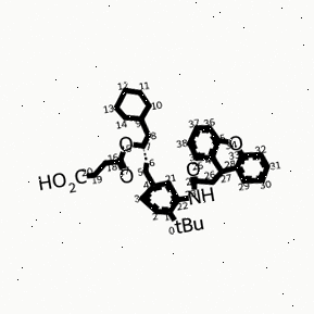 CC(C)(C)c1ccc(CC[C@@H](CC2CCCCC2)OC(=O)CCC(=O)O)cc1NC(=O)CC1c2ccccc2Oc2ccccc21